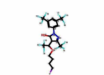 OC1C(C(OCCCCI)C(F)(F)F)C(C(F)(F)F)=NN1c1cc(C(F)(F)F)cc(C(F)(F)F)c1